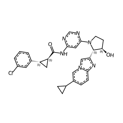 O=C(Nc1cc(N2CC[C@@H](O)[C@@H]2c2cn3cc(C4CC4)ccc3n2)ncn1)[C@H]1C[C@@H]1c1cccc(Cl)c1